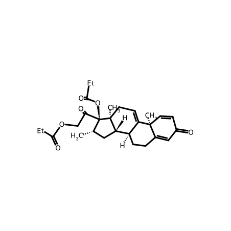 CCC(=O)OCC(=O)[C@@]1(OC(=O)CC)[C@@H](C)C[C@H]2[C@@H]3CCC4=CC(=O)C=C[C@]4(C)C3=CC[C@@]21C